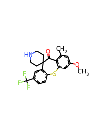 COc1cc(C)c2c(c1)Sc1ccc(C(F)(F)F)cc1C1(CCNCC1)C2=O